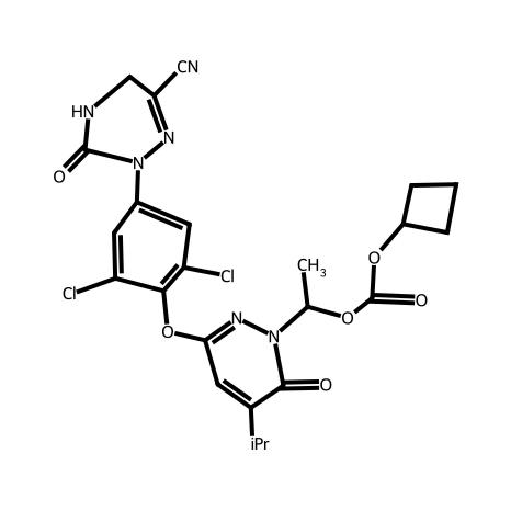 CC(C)c1cc(Oc2c(Cl)cc(N3N=C(C#N)CNC3=O)cc2Cl)nn(C(C)OC(=O)OC2CCC2)c1=O